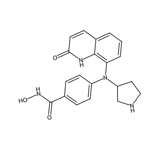 O=C(NO)c1ccc(N(c2cccc3ccc(=O)[nH]c23)C2CCNC2)cc1